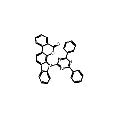 O=c1oc2c(ccc3c4ccccc4n(-c4nc(-c5ccccc5)nc(-c5ccccc5)n4)c32)c2ccccc12